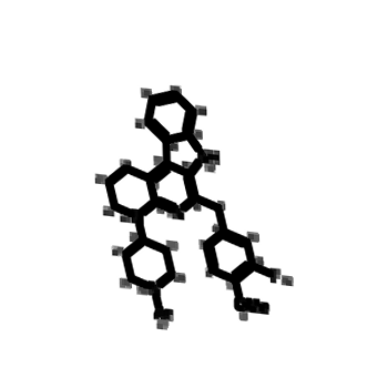 COc1ccc(Cc2nc3c(c4c2[nH]c2ccccc24)CCCN3C2CCN(C(C)=O)CC2)cc1F